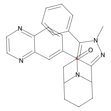 Cn1nc2c(c1-c1ccccc1)CC1CCCC2N1C(=O)c1ccc2nccnc2c1